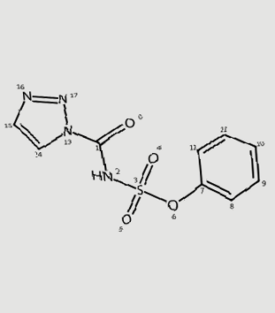 O=C(NS(=O)(=O)Oc1ccccc1)n1ccnn1